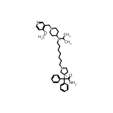 COc1ccncc1CN1CCC(N(CCCCCCCN2CC[C@@H](C(C(N)=O)(c3ccccc3)c3ccccc3)C2)C(C)C)CC1